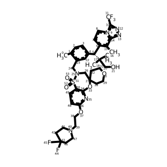 Cc1ccc([C@H](c2ccn3c(C(F)(F)F)nnc3c2C)C(C)(C)CO)cc1CN1CC2(CCOCC2)Oc2nc(OCCN3CCC(F)(F)CC3)ccc2S1(=O)=O